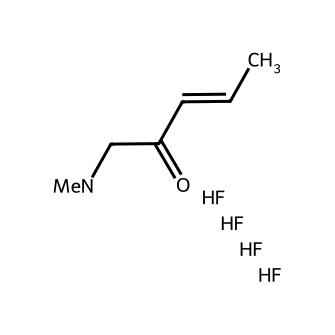 CC=CC(=O)CNC.F.F.F.F